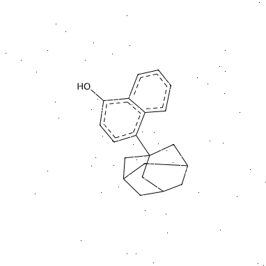 Oc1ccc(C23CC4CC(CC(C4)C2)C3)c2ccccc12